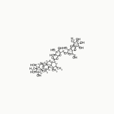 CC1CC(C(=O)OC2OC(COC3OC(CO)[C@@H](O[C@H]4CC(C)C(O)[C@H](O)[C@@H]4O)[C@@H](C)[C@@H]3O)[C@@H](O)[C@@H](O)[C@@H]2O)C2CCC3(C)C(=CCC4C3CCC3C(C)(CO)C(O)C(O)CC43C)C2C1C